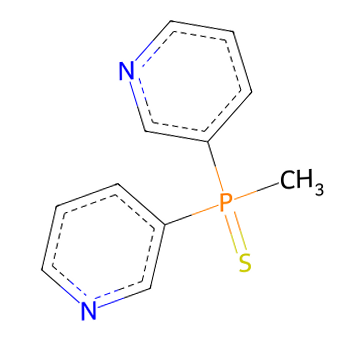 CP(=S)(c1cccnc1)c1cccnc1